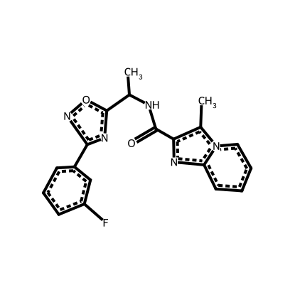 Cc1c(C(=O)NC(C)c2nc(-c3cccc(F)c3)no2)nc2ccccn12